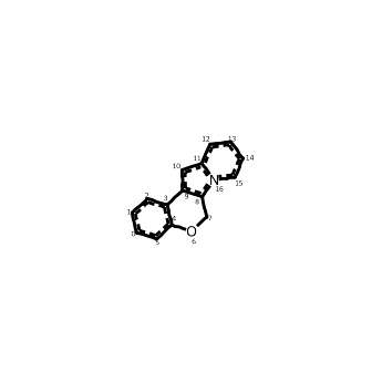 c1ccc2c(c1)OCc1c-2cc2ccccn12